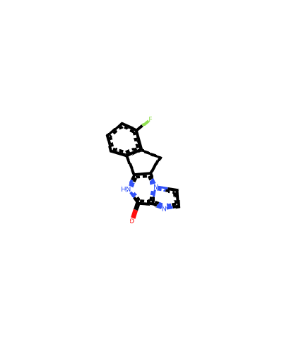 O=c1[nH]c2c(n3ccnc13)Cc1c(F)cccc1-2